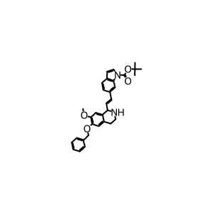 COc1cc2c(cc1OCc1ccccc1)CCNC2/C=C/c1ccc2ccn(C(=O)OC(C)(C)C)c2c1